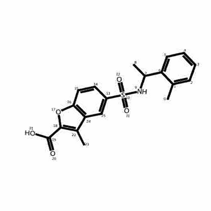 Cc1ccccc1C(C)NS(=O)(=O)c1ccc2oc(C(=O)O)c(C)c2c1